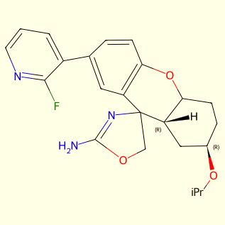 CC(C)O[C@@H]1CCC2Oc3ccc(-c4cccnc4F)cc3C3(COC(N)=N3)[C@H]2C1